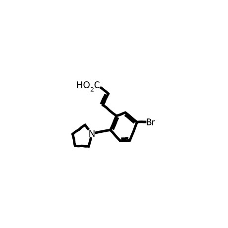 O=C(O)/C=C/c1cc(Br)ccc1N1CCCC1